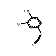 CC(=O)Oc1ccc(N=C=O)cc1C(=O)O